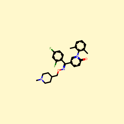 Cc1cccc(C)c1-n1cc(C(=NOCC2CCN(C)CC2)c2ccc(F)cc2F)ccc1=O